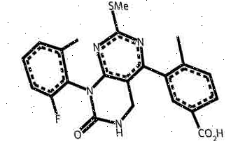 CSc1nc(-c2cc(C(=O)O)ccc2C)c2c(n1)N(c1c(C)cccc1F)C(=O)NC2